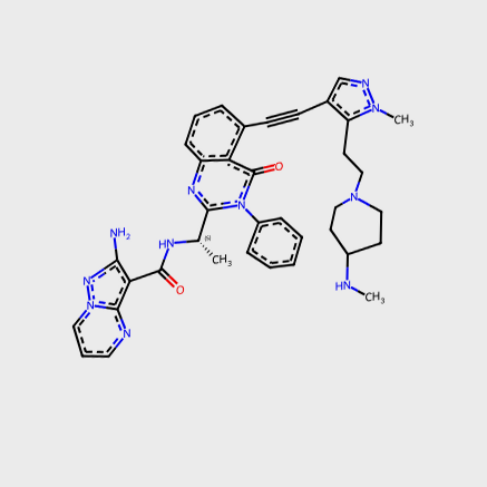 CNC1CCN(CCc2c(C#Cc3cccc4nc([C@H](C)NC(=O)c5c(N)nn6cccnc56)n(-c5ccccc5)c(=O)c34)cnn2C)CC1